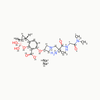 CN(C)C(=O)CNC(=O)[C@](C)(N)CN1CC(Oc2ccc3c(c2C(=O)[O-])O[B-](O)(O)[C@@H]2C[C@H]32)C1.[Na+].[Na+]